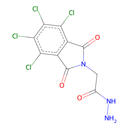 NNC(=O)CN1C(=O)c2c(Cl)c(Cl)c(Cl)c(Cl)c2C1=O